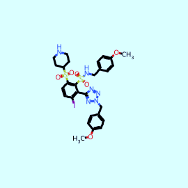 COc1ccc(CNS(=O)(=O)c2c(S(=O)(=O)C3CCNCC3)ccc(I)c2-c2nnn(Cc3ccc(OC)cc3)n2)cc1